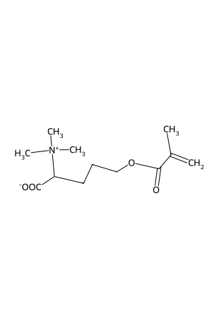 C=C(C)C(=O)OCCCC(C(=O)[O-])[N+](C)(C)C